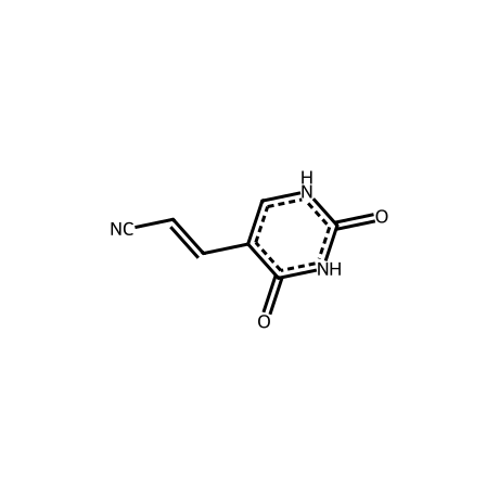 N#CC=Cc1c[nH]c(=O)[nH]c1=O